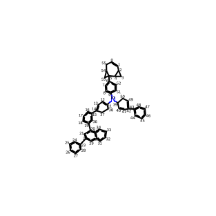 C1=CC2CC2C2(c3ccc(N(C4=CC=C(c5cccc(-c6cc(-c7ccccc7)cc7ccccc67)c5)CC4)C4C=CC(c5ccccc5)=CC4)cc3)CC2C1